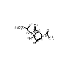 CCOC(=O)C(F)ON1C(=O)N2C[C@H]1C(C)=C[C@H]2C(N)=O